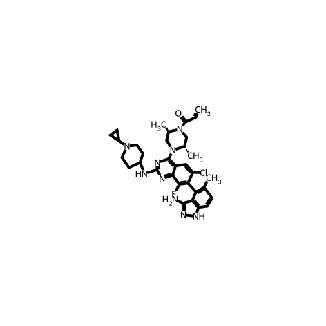 C=CC(=O)N1C[C@H](C)N(c2nc(NC3CCN(C4CC4)CC3)nc3c(F)c(-c4c(C)ccc5[nH]nc(N)c45)c(Cl)cc23)C[C@H]1C